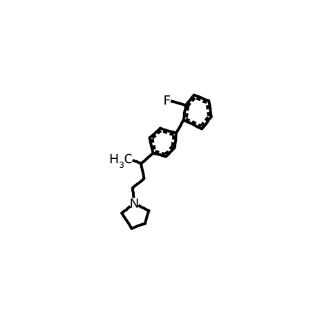 CC(CCN1CCCC1)c1ccc(-c2ccccc2F)cc1